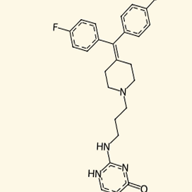 O=c1cc[nH]c(NCCCN2CCC(=C(c3ccc(F)cc3)c3ccc(F)cc3)CC2)n1